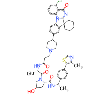 Cc1ncsc1-c1ccc([C@H](C)NC(=O)[C@@H]2C[C@@H](O)CN2C(=O)[C@@H](NC(=O)CCN2CCC(c3ccc4c(c3)C3(CCCCC3)c3nc(=O)c5c(Cl)cccc5n3-4)CC2)C(C)(C)C)cc1